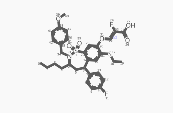 CCCCC1CC(c2ccc(F)cc2)c2cc(SCC)c(O/C=C(\F)C(=O)O)cc2S(=O)(=O)N1Cc1ccc(OC)cc1